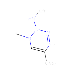 CCCNN1N=NC(OC)=CN1C